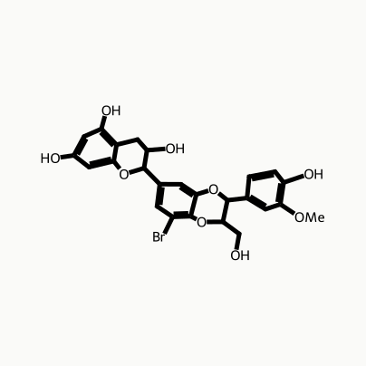 COc1cc(C2Oc3cc(C4Oc5cc(O)cc(O)c5CC4O)cc(Br)c3OC2CO)ccc1O